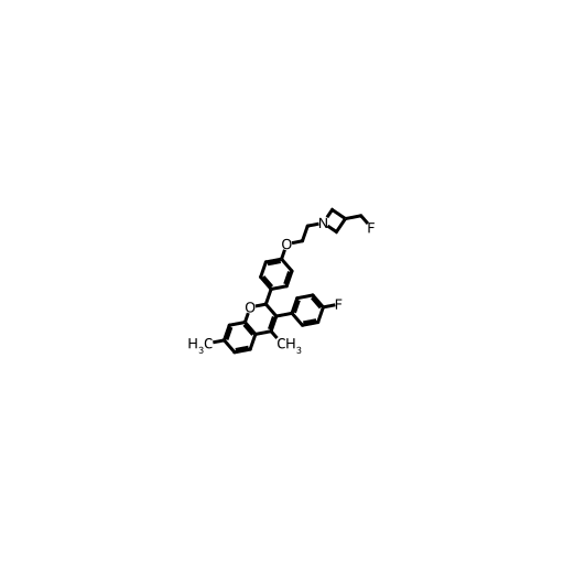 CC1=C(c2ccc(F)cc2)C(c2ccc(OCCN3CC(CF)C3)cc2)Oc2cc(C)ccc21